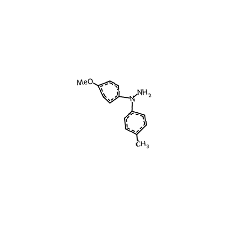 COc1ccc(N(N)c2ccc(C)cc2)cc1